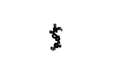 O=C(c1c[nH]c(C(F)(F)F)n1)N1CCc2cc(Oc3ccc(C(F)(F)F)cc3F)cnc2C1